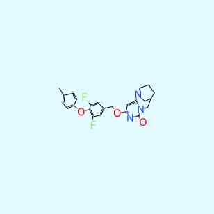 Cc1ccc(Oc2c(F)cc(COc3cc4n(c(=O)n3)CC3CCCN4C3)cc2F)cc1